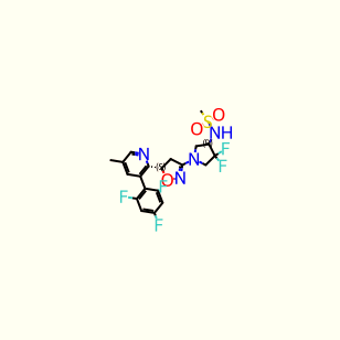 Cc1cnc([C@@H]2CC(N3C[C@@H](NS(C)(=O)=O)C(F)(F)C3)=NO2)c(-c2c(F)cc(F)cc2F)c1